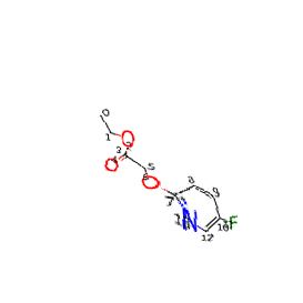 CCOC(=O)COc1ccc(F)cn1